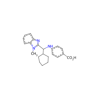 Cn1c(C(Nc2ccc(C(=O)O)cc2)C2CCCCC2)nc2ccccc21